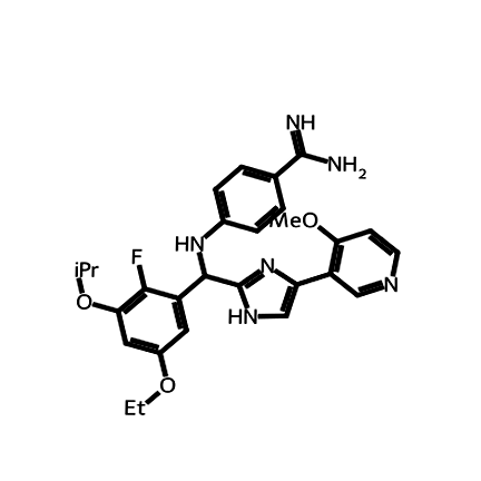 CCOc1cc(OC(C)C)c(F)c(C(Nc2ccc(C(=N)N)cc2)c2nc(-c3cnccc3OC)c[nH]2)c1